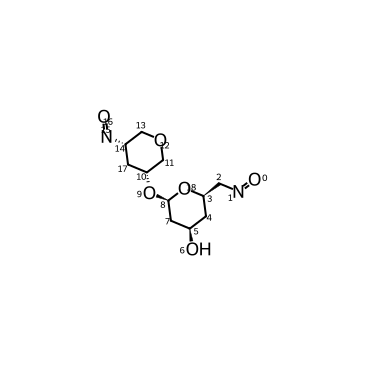 O=NC[C@H]1C[C@@H](O)C[C@@H](O[C@H]2COC[C@@H](N=O)C2)O1